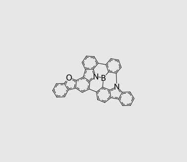 c1cc2c3c(c1)-n1c4ccccc4c4ccc5c(c41)B3n1c3c-2cccc3c2c3oc4ccccc4c3cc-5c21